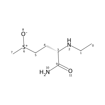 CCN[C@@H](CC[S+](C)[O-])C(N)=O